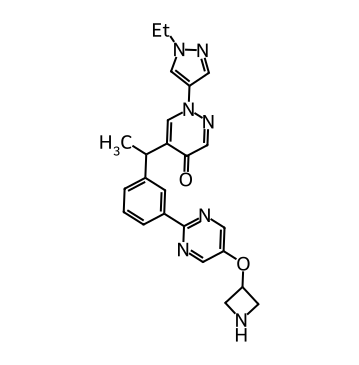 CCn1cc(-n2cc(C(C)c3cccc(-c4ncc(OC5CNC5)cn4)c3)c(=O)cn2)cn1